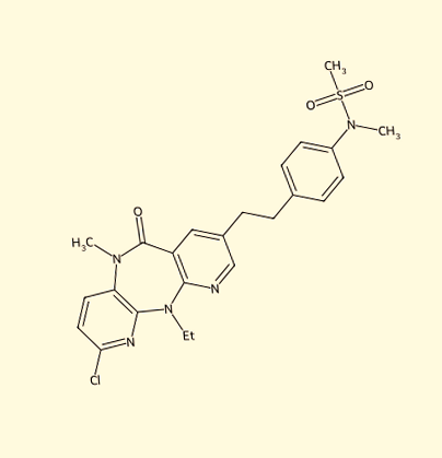 CCN1c2ncc(CCc3ccc(N(C)S(C)(=O)=O)cc3)cc2C(=O)N(C)c2ccc(Cl)nc21